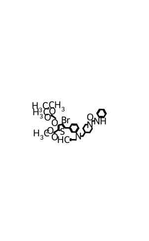 C#CCN(CC1CCN(C(=O)Nc2ccccc2)CC1)c1cccc(-c2sc(C(=O)OC)c(OCC(=O)OC(C)(C)C)c2Br)c1